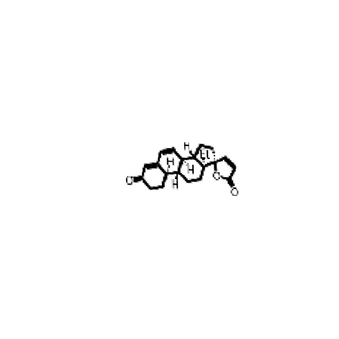 CC[C@]12CC[C@H]3[C@@H](C=CC4=CC(=O)CC[C@@H]43)[C@@H]1CC[C@@]21C=CC(=O)O1